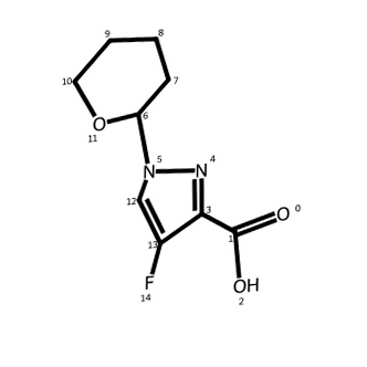 O=C(O)c1nn(C2CCCCO2)cc1F